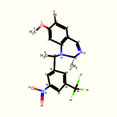 COc1cc2c(cc1Br)C=N[C@H](C)N2C(C)c1cc([N+](=O)[O-])cc(C(F)(F)F)c1